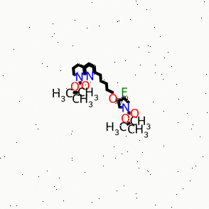 CC(C)(C)OC(=O)N1C[C@@H](F)[C@H](OCCCCCc2ccc3c(n2)N(C(=O)OC(C)(C)C)CCC3)C1